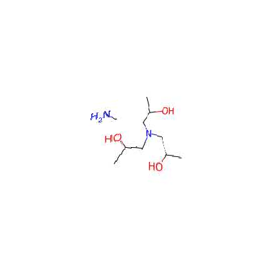 CC(O)CN(CC(C)O)CC(C)O.CN